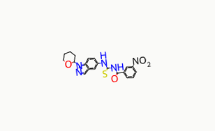 O=C(NC(=S)Nc1ccc2c(cnn2C2CCCCO2)c1)c1cccc([N+](=O)[O-])c1